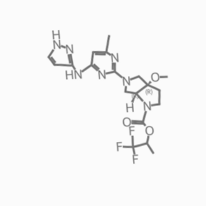 CO[C@@]12CCN(C(=O)OC(C)C(F)(F)F)[C@@H]1CN(c1nc(C)cc(Nc3cc[nH]n3)n1)C2